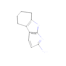 Nc1ccc2c3c([nH]c2n1)CCCC3